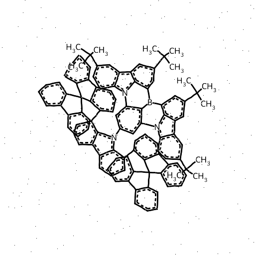 CC(C)(C)c1ccc2c(c1)c1cc(C(C)(C)C)cc3c1n2-c1cc(-n2c4c(-c5cccc6c5C5(c7ccccc7-c7ccccc75)c5ccccc5-6)cccc4c4cccc(-c5cccc6c5C5(c7ccccc7-c7ccccc75)c5ccccc5-6)c42)cc2c1B3c1cc(C(C)(C)C)cc3c4cc(C(C)(C)C)ccc4n-2c13